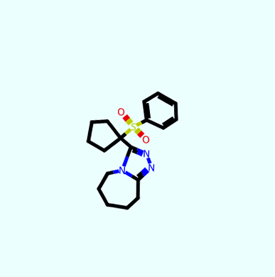 O=S(=O)(c1ccccc1)C1(c2nnc3n2CCCCC3)CCCC1